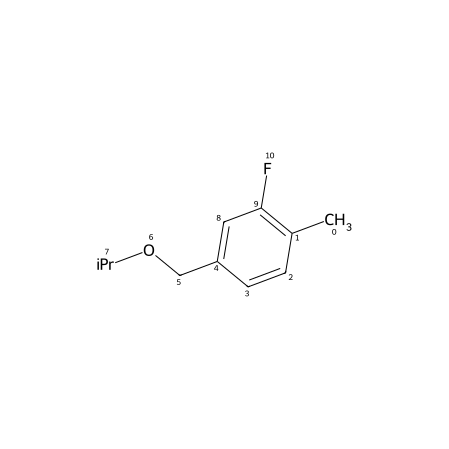 Cc1ccc(COC(C)C)cc1F